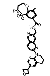 O=C(NCc1cc2nc(N3CCCc4cc(C5COC5)cnc43)ccc2cn1)c1cc(F)c2c(c1)S(=O)(=O)[C@@H](F)CCO2